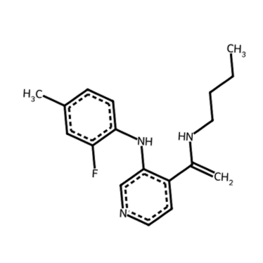 C=C(NCCCC)c1ccncc1Nc1ccc(C)cc1F